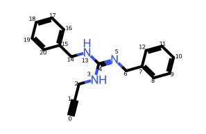 C#CCNC(=NCc1ccccc1)NCc1ccccc1